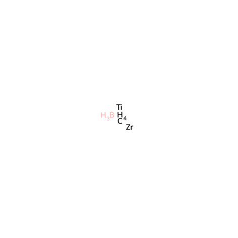 B.C.[Ti].[Zr]